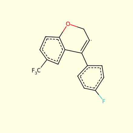 Fc1ccc(C2=[C]COc3ccc(C(F)(F)F)cc32)cc1